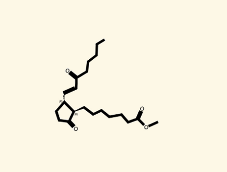 CCCCCC(=O)C=C[C@H]1CCC(=O)[C@@H]1CCCCCCC(=O)OC